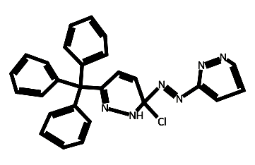 ClC1(N=Nc2cccnn2)C=CC(C(c2ccccc2)(c2ccccc2)c2ccccc2)=NN1